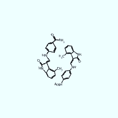 CC(=O)Nc1ccc(NC=C2C(=O)Nc3cccc(C)c32)cc1.Cc1cccc2c1C(=CNc1ccc(C(N)=O)cc1)C(=O)N2